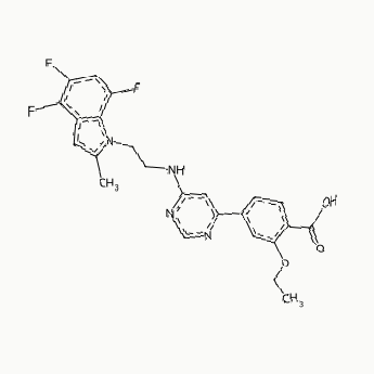 CCOc1cc(-c2cc(NCCn3c(C)cc4c(F)c(F)cc(F)c43)ncn2)ccc1C(=O)O